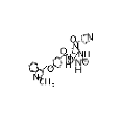 Cc1cc(COc2ccc(C(=O)NC3CN(C(=O)c4ccncc4)CC34NC(=O)NC4=O)cc2)c2ccccc2n1